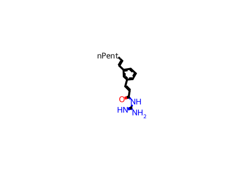 CCCCC/C=C/c1cccc(/C=C/C(=O)NC(=N)N)c1